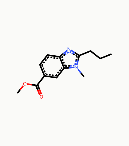 CCCc1nc2ccc(C(=O)OC)cc2n1C